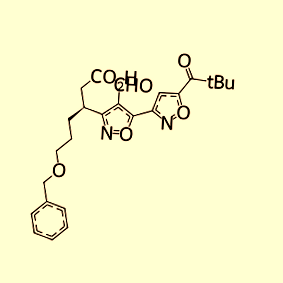 CC(C)(C)C(=O)c1cc(-c2onc([C@@H](CCCOCc3ccccc3)CC(=O)O)c2C=O)no1